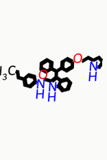 CCCc1ccc(NC(=O)c2[nH]c3ccccc3c2C(c2ccccc2)c2ccc(OCCC3CCCN3)cc2)cc1